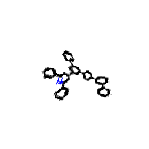 c1ccc(-c2cccc(-c3ccc(-c4cc(-c5ccccc5)cc(-c5cc(-c6ccccc6)nc(-c6ccccc6)c5)c4)cc3)c2)cc1